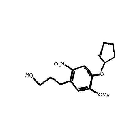 COc1cc(CCCO)c([N+](=O)[O-])cc1OC1CCCC1